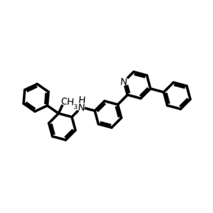 CC1(c2ccccc2)C=CC=CC1Nc1cccc(-c2cc(-c3ccccc3)ccn2)c1